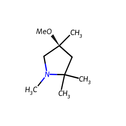 CO[C@]1(C)CN(C)C(C)(C)C1